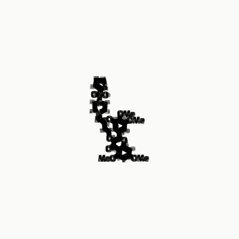 COc1cc(OC)c2c(=O)c(OCCCCN3CCN(S(=O)(=O)c4cccs4)CC3)c(-c3cc(OC)c(OC)c(OC)c3)oc2c1